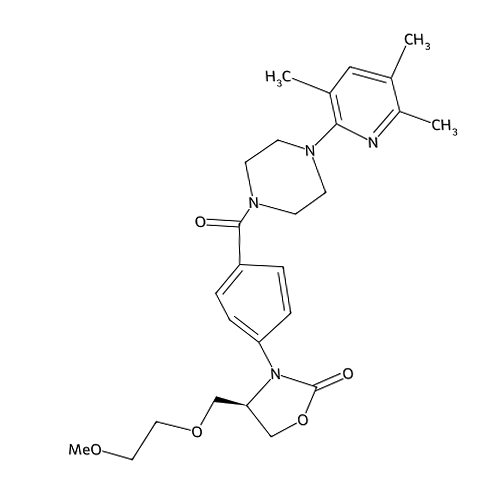 COCCOC[C@@H]1COC(=O)N1c1ccc(C(=O)N2CCN(c3nc(C)c(C)cc3C)CC2)cc1